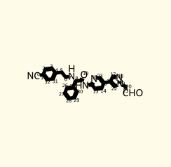 N#Cc1ccc(CCNC(C(=O)Nc2ccc(-c3cnn(CC=O)c3)cn2)c2ccccc2)cc1